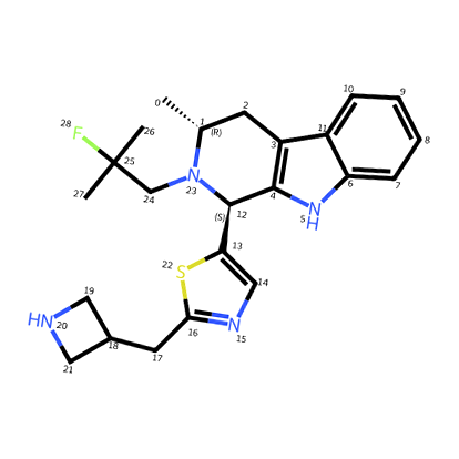 C[C@@H]1Cc2c([nH]c3ccccc23)[C@@H](c2cnc(CC3CNC3)s2)N1CC(C)(C)F